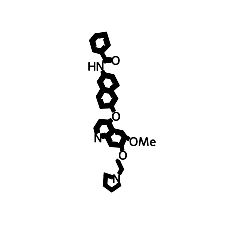 COc1cc2c(Oc3ccc4cc(NC(=O)c5ccccc5)ccc4c3)ccnc2cc1OCCN1CCCC1